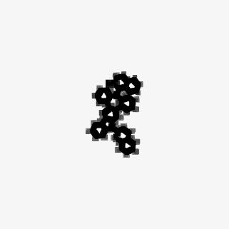 C1=c2ccccc2=C(N2c3ccccc3-c3cc4c5ccccc5n(-c5ccc6ccccc6n5)c4cc3-c3ccccc32)NC1